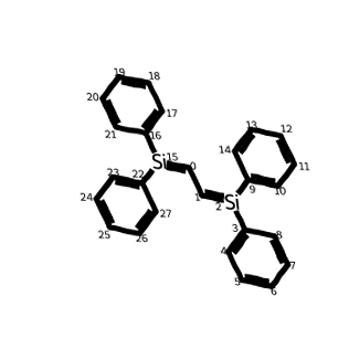 C(C=[Si](c1ccccc1)c1ccccc1)=[Si](c1ccccc1)c1ccccc1